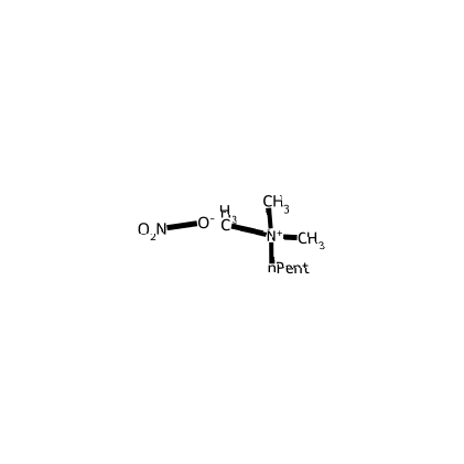 CCCCC[N+](C)(C)C.O=[N+]([O-])[O-]